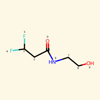 O=C(CC(F)F)NCCO